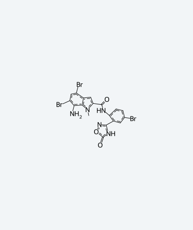 Cn1c(C(=O)Nc2ccc(Br)cc2-c2noc(=O)[nH]2)cc2c(Br)cc(Br)c(N)c21